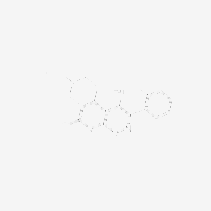 CC(C)(C)c1c(-c2ccccc2O)nnc2[nH]c(=O)c3c(c12)CCN(C(=O)O)C3